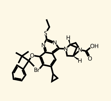 CCSc1nc(N2C[C@@H]3C[C@H]2CN3C(=O)O)c2cc(C3CC3)c(Br)c(OC(C)(c3ccccc3)C(C)(C)C)c2n1